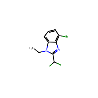 FC(F)c1nc2c(Br)cccc2n1CC(F)(F)F